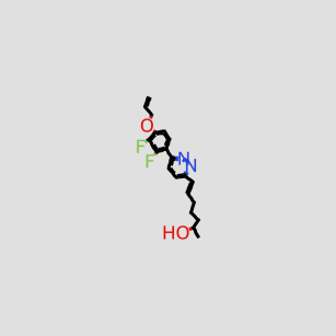 C=CCOc1ccc(-c2ccc(C=CCCCC(C)O)nn2)c(F)c1F